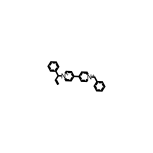 C=CC(c1ccccc1)[n+]1ccc(-c2cc[n+](Cc3ccccc3)cc2)cc1